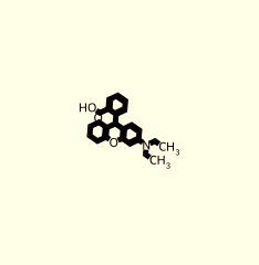 CCN(CC)c1ccc2c(c1)OC1=C(CCCC1)C2c1ccccc1C(=O)O